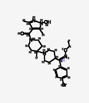 CCO/N=C(/c1ccc(Br)cc1)C1CCN(C2(C)CCN(C(=O)c3c(C)nn(O)c3C)CC2)CC1